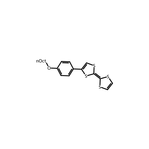 CCCCCCCCOc1ccc(C2=CSC(=C3SC=CS3)S2)cc1